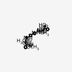 COC(=O)N[C@@H](C(=O)N[C@@H](C)c1ncc(-c2ccc(-c3ccc(-c4cnc([C@H](C)NC(=O)[C@H](NC(=O)O)c5ccccc5)[nH]4)cn3)cc2)[nH]1)c1ccccc1